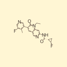 CCn1c(=O)c(-c2cncc(F)c2C)cc2cnc(NC(=O)[C@@H]3C[C@H]3F)cc21